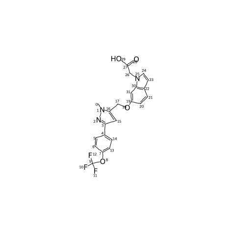 Cn1nc(-c2ccc(OC(F)(F)F)cc2)cc1COc1ccc2ccn(CC(=O)O)c2c1